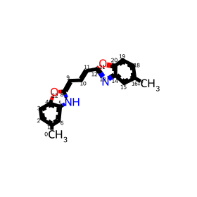 Cc1ccc2c(c1)NC(=CC=Cc1nc3cc(C)ccc3o1)O2